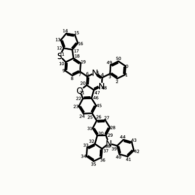 c1ccc(-c2nc(-c3ccc4sc5ccccc5c4c3)c3oc4ccc(-c5ccc6c(c5)c5ccccc5n6-c5ccccc5)cc4c3n2)cc1